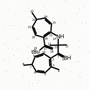 B=C(C1=C(C)C=CC(C)C=C1)C(C)(C)NC1=C(C(=C)C(C)(C)C)C=CC(C)C=C1